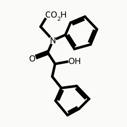 O=C(O)CN(C(=O)C(O)Cc1ccccc1)c1ccccc1